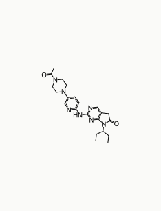 CCC(CC)N1C(=O)Cc2cnc(Nc3ccc(N4CCN(C(C)=O)CC4)cn3)nc21